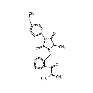 CC1C(=O)N(c2ccc(OC(F)(F)F)cc2)C(=O)N1Cc1ccncc1C(=O)N(C)C